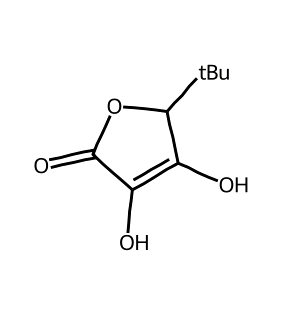 CC(C)(C)C1OC(=O)C(O)=C1O